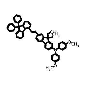 CCC1(CC)c2cc(/C=C/c3cccc4c3-c3ccccc3C4(c3ccccc3)c3ccccc3)ccc2-c2ccc(N(c3ccc(OC)cc3)c3ccc(OC)cc3)cc21